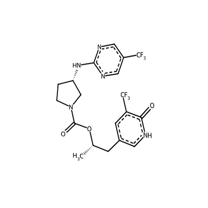 C[C@@H](Cc1c[nH]c(=O)c(C(F)(F)F)c1)OC(=O)N1CC[C@H](Nc2ncc(C(F)(F)F)cn2)C1